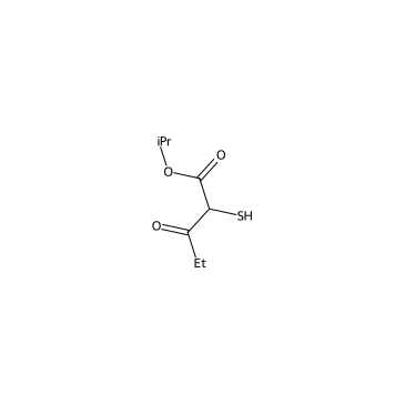 CCC(=O)C(S)C(=O)OC(C)C